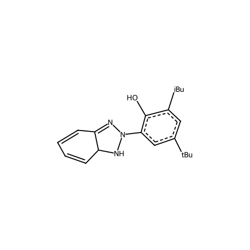 CCC(C)c1cc(C(C)(C)C)cc(N2N=C3C=CC=CC3N2)c1O